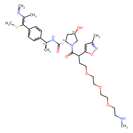 C=N/C(C)=C(\SC)c1ccc([C@H](C)NC(=O)[C@@H]2C[C@@H](O)CN2C(=O)C(CCOCCOCCOCCNC)c2cc(C)no2)cc1